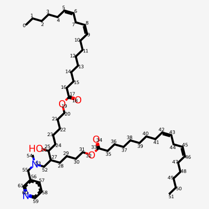 CCCCC/C=C\C/C=C\CCCCCCCC(=O)OCCCCCC(O)C(CCCCOC(=O)CCCCCCC/C=C\C/C=C\CCCCC)CN(C)Cc1cccnc1